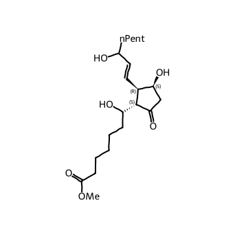 CCCCCC(O)C=C[C@@H]1[C@@H](C(O)CCCCCC(=O)OC)C(=O)C[C@@H]1O